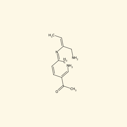 C\C=C(CN)/N=C(C)/C=C\C(=C/N)C(C)=O